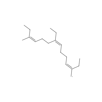 [CH2]C(=CCCC=C(CC)CCC=C(C)CC)CC